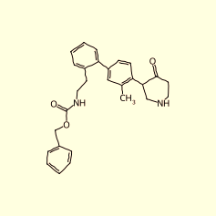 Cc1cc(-c2ccccc2CCNC(=O)OCc2ccccc2)ccc1C1CNCCC1=O